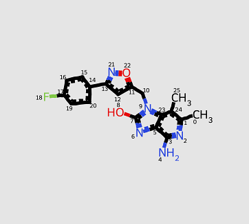 Cc1nc(N)c2nc(O)n(Cc3cc(-c4ccc(F)cc4)no3)c2c1C